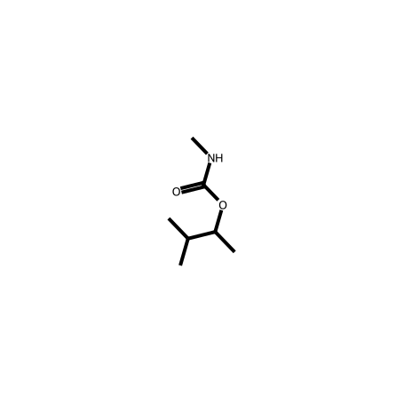 CNC(=O)OC(C)C(C)C